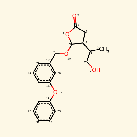 CC(CO)C1CC(=O)OC1OCc1cccc(Oc2ccccc2)c1